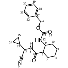 N#CC(NC(=O)C1CCCCC1NC(=O)OCc1ccccc1)C1CC1